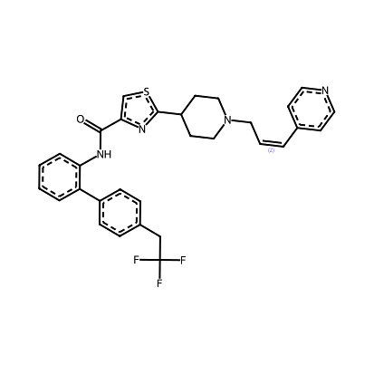 O=C(Nc1ccccc1-c1ccc(CC(F)(F)F)cc1)c1csc(C2CCN(C/C=C\c3ccncc3)CC2)n1